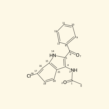 CC(=O)Nc1c(C(=O)c2ccccc2)[nH]c2cc(Cl)ccc12